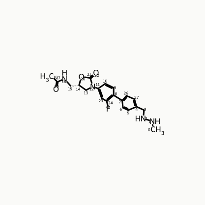 CNNCc1ccc(-c2ccc(N3C[C@H](CNC(C)=O)OC3=O)cc2F)cc1